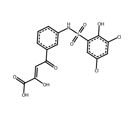 O=C(O)/C(O)=C/C(=O)c1cccc(NS(=O)(=O)c2cc(Cl)cc(Cl)c2O)c1